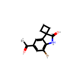 CCC(=O)c1cc(Br)c2c(c1)C1(CCC1)C(=O)N2